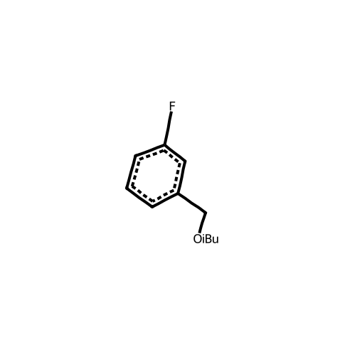 CC(C)COCc1cccc(F)c1